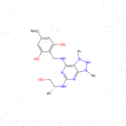 COc1cc(O)c(CNc2nc(N[C@@H](CO)C(C)C)nc3c2N(C(C)C)NN3C(C)C)c(O)c1